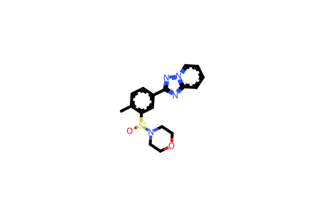 Cc1ccc(-c2nc3ccccn3n2)cc1[S+]([O-])N1CCOCC1